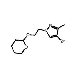 Cc1nn(CCOC2CCCCO2)cc1Br